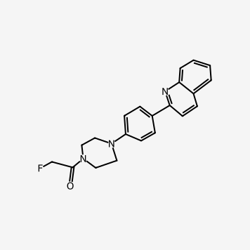 O=C(CF)N1CCN(c2ccc(-c3ccc4ccccc4n3)cc2)CC1